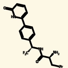 CC(C)C[C@H](N)C(=O)N[C@@H](c1ccc(-c2cccc(=O)[nH]2)cc1)C(F)(F)F